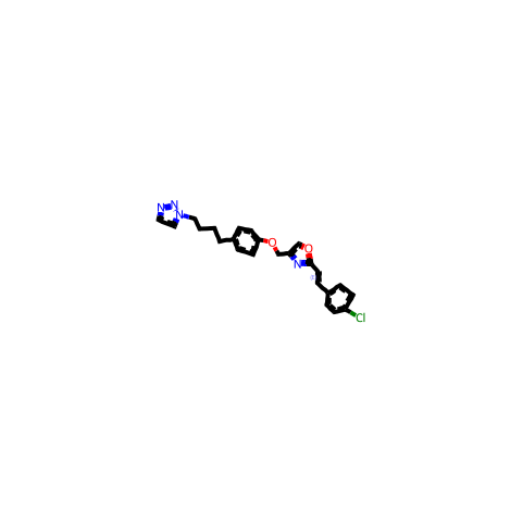 Clc1ccc(/C=C/c2nc(COc3ccc(CCCCn4ccnn4)cc3)co2)cc1